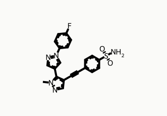 Cn1ncc(C#Cc2ccc(S(N)(=O)=O)cc2)c1-c1cnn(-c2ccc(F)cc2)c1